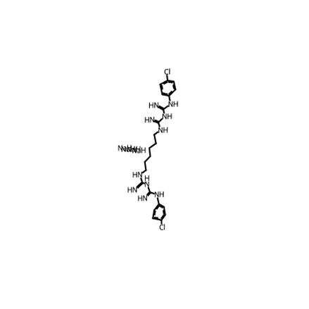 N=C(NCCCCCCNC(=N)NC(=N)Nc1ccc(Cl)cc1)NC(=N)Nc1ccc(Cl)cc1.[NaH].[NaH].[NaH].[NaH]